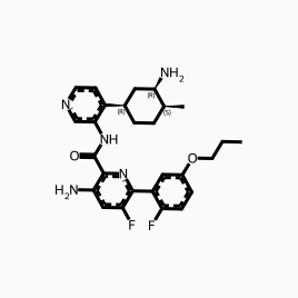 CCCOc1ccc(F)c(-c2nc(C(=O)Nc3cnccc3[C@@H]3CC[C@H](C)[C@H](N)C3)c(N)cc2F)c1